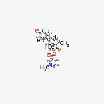 CC1C[C@H]2[C@@H]3CCC4=CC(=O)C=C[C@]4(C)[C@@]3(F)CC[C@]2(C)[C@H]1C(=O)COC(=O)C1=CN(C)C=CC1